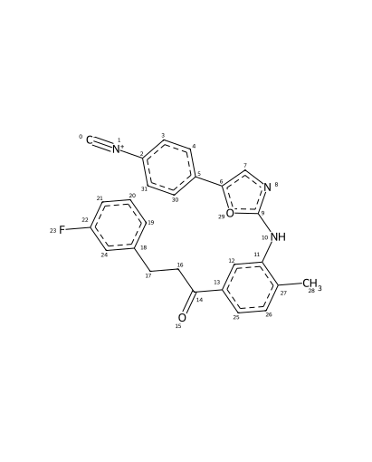 [C-]#[N+]c1ccc(-c2cnc(Nc3cc(C(=O)CCc4cccc(F)c4)ccc3C)o2)cc1